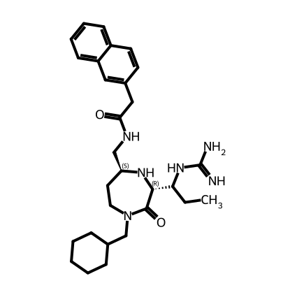 CCC(NC(=N)N)[C@H]1N[C@H](CNC(=O)Cc2ccc3ccccc3c2)CCN(CC2CCCCC2)C1=O